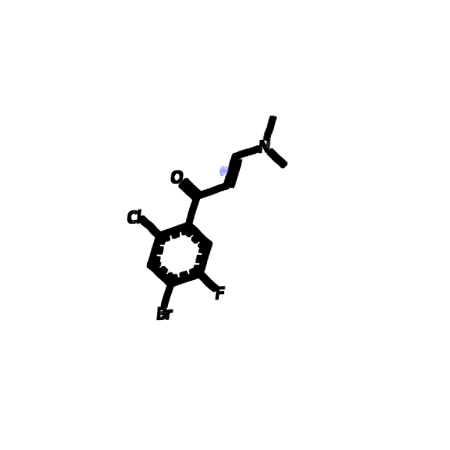 CN(C)/C=C/C(=O)c1cc(F)c(Br)cc1Cl